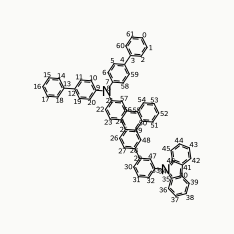 c1ccc(-c2ccc(N(c3ccc(-c4ccccc4)cc3)c3ccc4c5ccc(-c6cccc(-n7c8ccccc8c8ccccc87)c6)cc5c5ccccc5c4c3)cc2)cc1